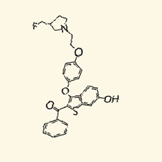 O=C(c1ccccc1)c1sc2cc(O)ccc2c1Oc1ccc(OCCN2CCC(CF)C2)cc1